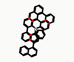 c1ccc(-c2cccc3cccc(-c4ccccc4N(c4ccc(-c5cccc6ccccc56)cc4)c4ccccc4-c4cccc5sc6ccccc6c45)c23)cc1